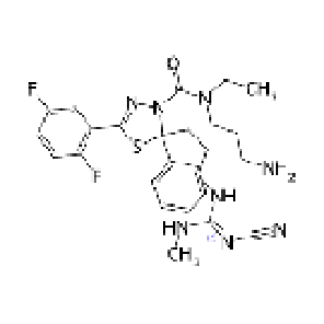 CCN(CCCN)C(=O)N1N=C(c2cc(F)ccc2F)SC1(CCCN/C(=N\C#N)NC)c1ccccc1